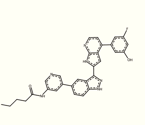 CCCCC(=O)Nc1cncc(-c2ccc3[nH]nc(-c4cc5c(-c6cc(O)cc(F)c6)ccnc5[nH]4)c3c2)c1